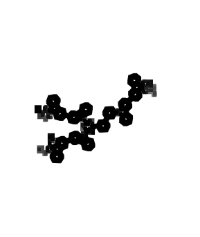 CC1(C)c2ccccc2-c2cc(-c3ccc4c(c3)c3ccccc3n4-c3cccc(-c4cccc(-c5nc(-n6c7ccccc7c7cc(-c8ccc9c(c8)-c8ccccc8C9(C)C)ccc76)nc(-n6c7ccccc7c7cc(-c8ccc9c(c8)-c8ccccc8C9(C)C)ccc76)n5)c4)c3)ccc21